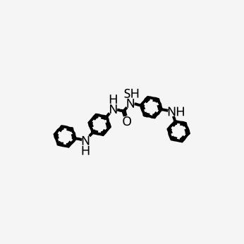 O=C(Nc1ccc(Nc2ccccc2)cc1)N(S)c1ccc(Nc2ccccc2)cc1